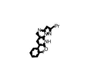 CC(C)c1cc2ncc3cc(-c4ccccc4F)c(=O)[nH]c3n2n1